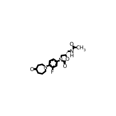 CC(=O)NC[C@H]1CN(c2ccc(N3CCCC(=O)CC3)c(F)c2)C(=O)O1